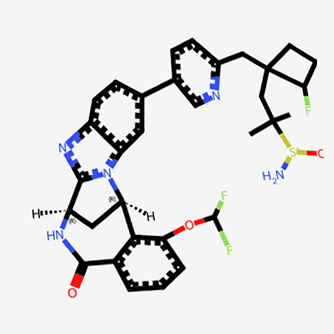 CC(C)(CC1(Cc2ccc(-c3ccc4nc5n(c4c3)[C@@H]3C[C@H]5NC(=O)c4cccc(OC(F)F)c43)cn2)CCC1F)[S+](N)[O-]